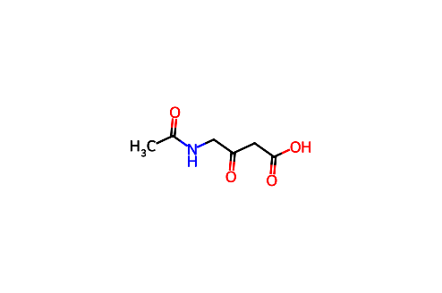 CC(=O)NCC(=O)CC(=O)O